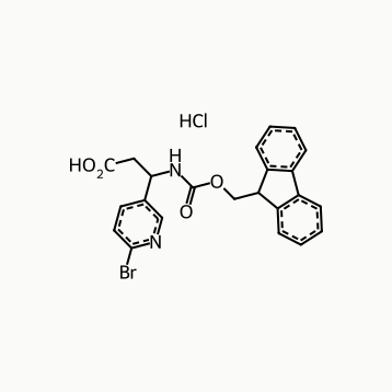 Cl.O=C(O)CC(NC(=O)OCC1c2ccccc2-c2ccccc21)c1ccc(Br)nc1